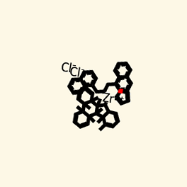 CC1=CC=CC2[CH]([Zr+2]([C]3=CC=CC3)=[C](Cc3cccc4ccccc34)Cc3cccc4ccccc34)C3(C)C4(C)C=CC=CC4(C)C4(C)C=CC=CC4(C)C3(C)C12C.[Cl-].[Cl-]